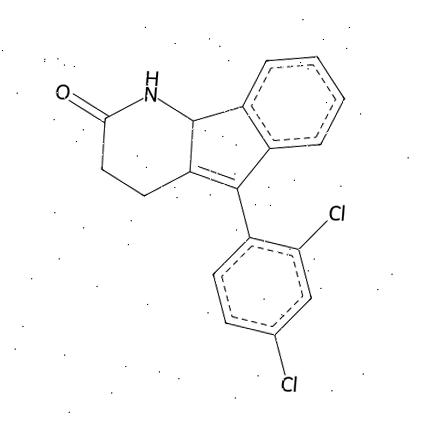 O=C1CCC2=C(c3ccc(Cl)cc3Cl)c3ccccc3C2N1